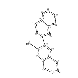 CCCc1cc2ccccc2nc1-c1ccc2ccccc2n1